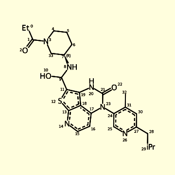 CCC(=O)N1CCC[C@@H](NC(O)c2sc3nccc4c3c2NC(=O)N4c2cnc(CC(C)C)cc2C)C1